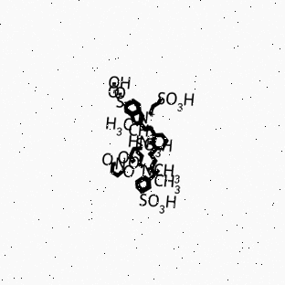 CC1(C)C(/C=C/C2=C(NCCC(=O)ON3C(=O)CCC3=O)C(=C/C=C3\N(CCCS(=O)(=O)O)c4ccc(S(=O)(=O)O)cc4C3(C)C)/CCC2)=[N+](CCCS(=O)(=O)O)c2ccc(SOOO)cc21